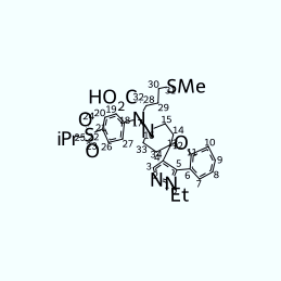 CCn1ncc2c1-c1ccccc1OC21CCN(N(c2ccc(S(=O)(=O)C(C)C)cc2)[C@@H](CCSC)C(=O)O)CC1